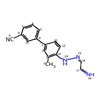 Cc1cc(-c2cccc(C#N)c2)ccc1N/N=C\C=N